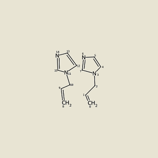 C=CCn1ccnc1.C=CCn1ccnc1